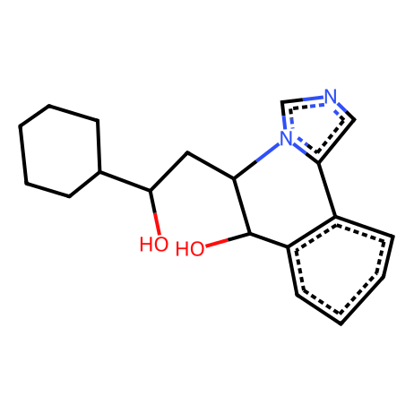 OC(CC1C(O)c2ccccc2-c2cncn21)C1CCCCC1